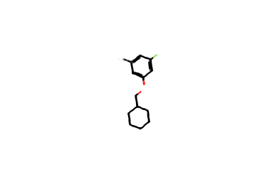 CCCCc1cc(F)cc(OCC2CCCCC2)c1